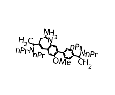 C=C(C1=Cc2cc(OC)c(-c3ccc(C(=C)N(CCC)CCC)cc3)cc2N=C(N)C1)N(CCC)CCC